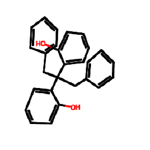 Oc1ccccc1C(Cc1ccccc1)(Cc1ccccc1)c1ccccc1O